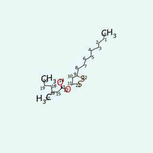 CCCCCCCCCC1CC(OC(=O)CC(C)CCC)SS1